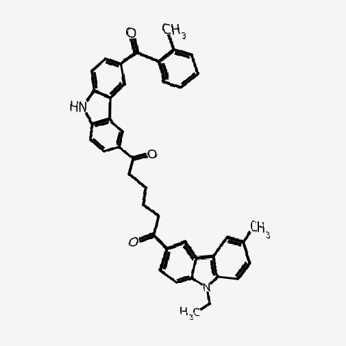 CCn1c2ccc(C)cc2c2cc(C(=O)CCCCC(=O)c3ccc4[nH]c5ccc(C(=O)c6ccccc6C)cc5c4c3)ccc21